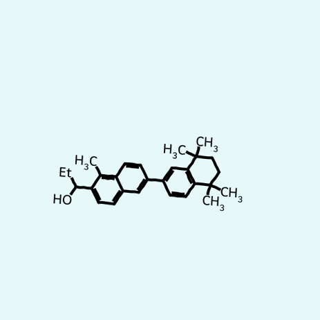 CCC(O)c1ccc2cc(-c3ccc4c(c3)C(C)(C)CCC4(C)C)ccc2c1C